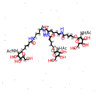 CC(=O)NC1[C@H](CCCCCC(=O)NCCCCC(NC(=O)C(CCCCNC(=O)CCCCO[C@@H]2OC(CO)[C@H](O)C(O)[C@@H]2NC(C)=O)NC(=O)CCCCO[C@@H]2OC(CO)[C@H](O)C(O)[C@@H]2NC(C)=O)C(C)=O)OC(CO)[C@H](O)[C@@H]1O